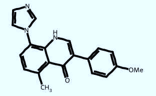 COc1ccc(-c2c[nH]c3c(-n4ccnc4)ccc(C)c3c2=O)cc1